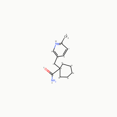 NC(=O)C1([CH]c2ccc(C(F)(F)F)nc2)CCCCC1